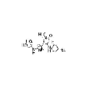 CCc1ccc(Nc2cc(=O)n(C)cc2-c2nnc(NC(CO)CO)o2)c(F)c1